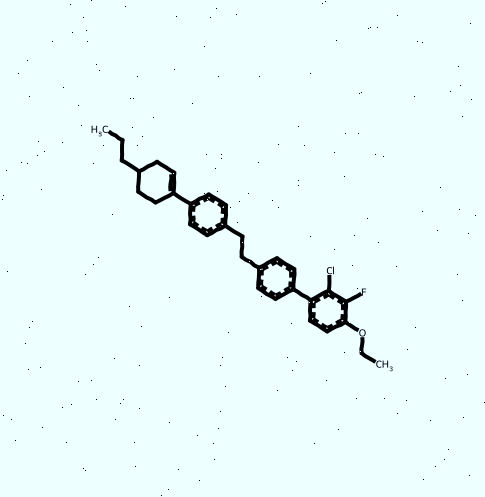 CCCC1CC=C(c2ccc(CCc3ccc(-c4ccc(OCC)c(F)c4Cl)cc3)cc2)CC1